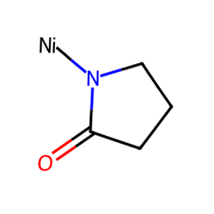 O=C1CCC[N]1[Ni]